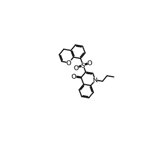 CCCn1cc(S(=O)(=O)c2cccc3c2OC=CC3)c(=O)c2ccccc21